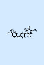 CC1=NC(C)=C(c2ccc(Oc3ccc([S+](C)[O-])cc3)cc2)C(=O)C1Br